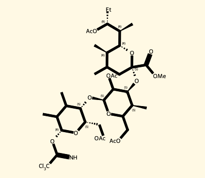 CC[C@@H](OC(C)=O)[C@@H](C)[C@@H]1O[C@@](O[C@@H]2C(OC(C)=O)[C@H](O[C@H]3C(C)C(C)[C@@H](OC(=N)C(Cl)(Cl)Cl)O[C@H]3COC(C)=O)OC(COC(C)=O)[C@@H]2C)(C(=O)OC)CC(C)[C@H]1C